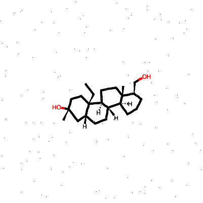 CC[C@]12CC[C@@](C)(O)C[C@H]1CC[C@H]1[C@@H]3CCC[C@H](CO)[C@@]3(C)CC[C@@H]12